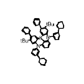 CC(C)(C)c1cc2c(cc1-c1ccccc1)B1c3cc(-c4ccccc4)c(C(C)(C)C)cc3N(c3cccc(C4CCCCC4)c3)c3cccc(c31)N2c1cccc(C2CCCCC2)c1